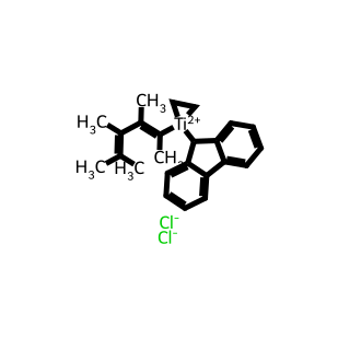 CC(C)=C(C)C(C)=[C](C)[Ti+2]1([CH]2c3ccccc3-c3ccccc32)[CH2][CH2]1.[Cl-].[Cl-]